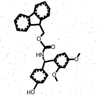 COc1ccc([C@H](NC(=O)OCC2c3ccccc3-c3ccccc32)c2ccc(O)cc2)c(OC)c1